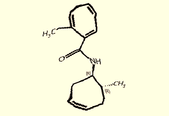 Cc1ccccc1C(=O)N[C@@H]1CC=CC[C@H]1C